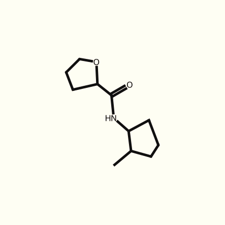 CC1CCCC1NC(=O)C1CCCO1